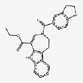 CCOC(=O)C1=CN(C(=O)c2ccc3c(c2)CCO3)CCc2c1[nH]c1ccccc21